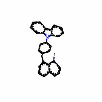 Ic1cccc2cccc(-c3ccc(-n4c5ccccc5c5ccccc54)cc3)c12